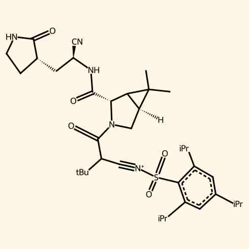 CC(C)c1cc(C(C)C)c(S(=O)(=O)[N+]#CC(C(=O)N2C[C@H]3C([C@H]2C(=O)N[C@H](C#N)C[C@@H]2CCNC2=O)C3(C)C)C(C)(C)C)c(C(C)C)c1